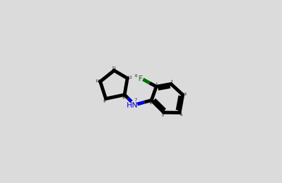 Fc1ccccc1NC1CCCC1